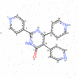 O=c1[nH]c(-c2ccncc2)nc(-c2ccncc2)c1-c1ccncc1